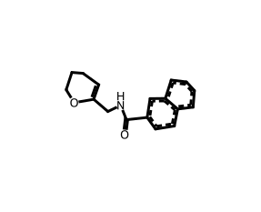 O=C(NCC1=CCCCO1)c1ccc2ccccc2c1